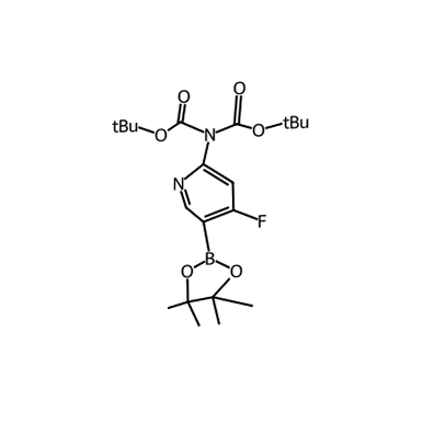 CC(C)(C)OC(=O)N(C(=O)OC(C)(C)C)c1cc(F)c(B2OC(C)(C)C(C)(C)O2)cn1